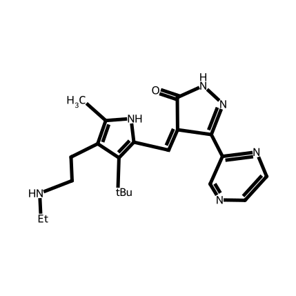 CCNCCc1c(C)[nH]c(C=C2C(=O)NN=C2c2cnccn2)c1C(C)(C)C